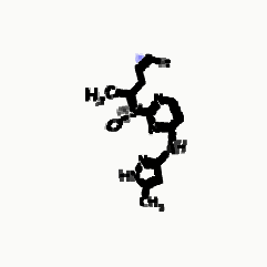 CC/C=C\CC(C)[S@@+]([O-])c1nccc(Nc2cc(C)[nH]n2)n1